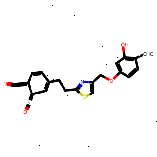 O=C=c1ccc(CCc2nc(COc3ccc(C=O)c(O)c3)cs2)cc1=C=O